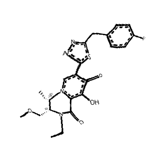 CCN1C(=O)c2c(O)c(=O)c(-c3nnc(Cc4ccc(F)cc4)s3)cn2[C@@H](C)[C@H]1COC